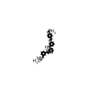 CCNCc1cccc(-c2cc3nccc(Nc4cccc(OCc5ccc(OC)cc5)c4)c3s2)c1